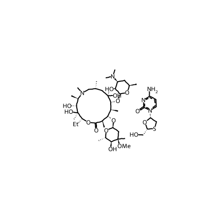 CC[C@H]1OC(=O)[C@H](C)[C@@H](O[C@H]2C[C@@](C)(OC)[C@@H](O)[C@H](C)O2)[C@H](C)[C@@H](O[C@@H]2O[C@H](C)C[C@H](N(C)C)[C@H]2O)[C@](C)(O)C[C@@H](C)CN(C)[C@H](C)[C@@H](O)[C@]1(C)O.Nc1ccn([C@@H]2CS[C@H](CO)O2)c(=O)n1